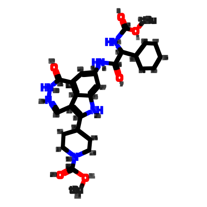 CC(C)(C)OC(=O)NC(C(=O)Nc1cc2c3c(c(C4CCN(C(=O)OC(C)(C)C)CC4)[nH]c3c1)C=NNC2=O)C1CCCCC1